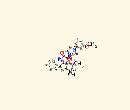 COc1cccc(N2CCN(CC(=O)NC3c4c(O)c(C)cc(C)c4CC3C3CCCCC3)CC2)c1